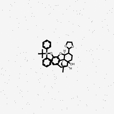 CN1CC[C@]23c4c5ccc(O[Si](c6ccccc6)(c6ccccc6)C(C)(C)C)c4O[C@H]2C(C2OCCO2)CCC3(O)[C@H]1C5